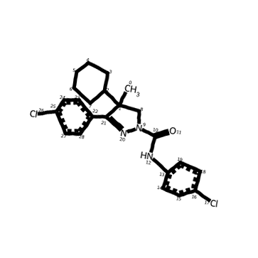 CC1(C2CCCCC2)CN(C(=O)Nc2ccc(Cl)cc2)N=C1c1ccc(Cl)cc1